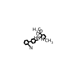 COC(=O)c1ccc(C)nc1NCc1ccc(-c2ccccc2C#N)cc1